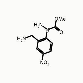 COC(=O)N(N)c1ccc([N+](=O)[O-])cc1CN